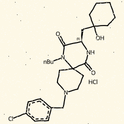 CCCCN1C(=O)[C@@H](CC2(O)CCCCC2)NC(=O)C12CCN(Cc1ccc(Cl)cc1)CC2.Cl